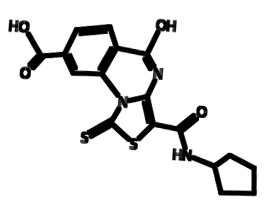 O=C(O)c1ccc2c(O)nc3c(C(=O)NC4CCCC4)sc(=S)n3c2c1